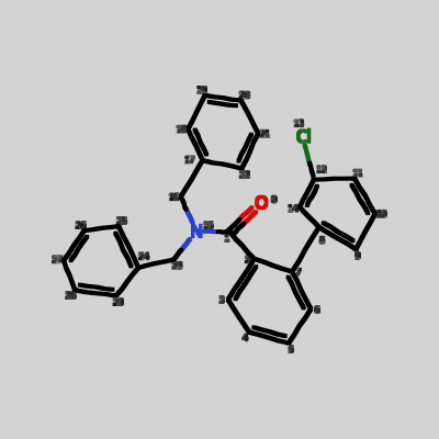 O=C(c1ccccc1-c1cccc(Cl)c1)N(Cc1ccccc1)Cc1ccccc1